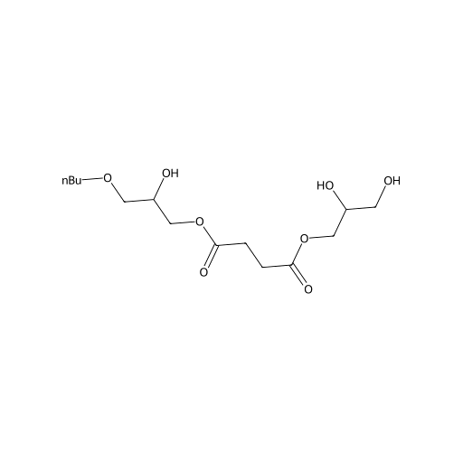 CCCCOCC(O)COC(=O)CCC(=O)OCC(O)CO